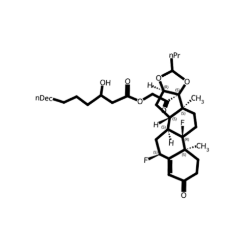 CCCCCCCCCCCCCC(O)CC(=O)OCC(=O)[C@@]12OC(CCC)O[C@@H]1C[C@H]1[C@@H]3C[C@H](F)C4=CC(=O)CC[C@]4(C)[C@@]3(F)CC[C@@]12C